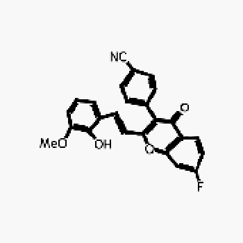 COc1cccc(C=Cc2oc3cc(F)ccc3c(=O)c2-c2ccc(C#N)cc2)c1O